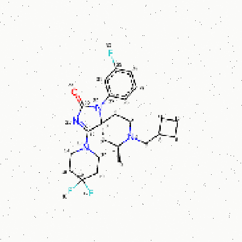 C[C@H]1C[C@]2(CCN1CC1CCC1)C(N1CCC(F)(F)CC1)=NC(=O)N2c1cccc(F)c1